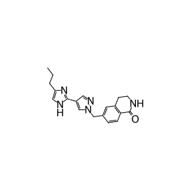 CCCc1c[nH]c(-c2cnn(Cc3ccc4c(c3)CCNC4=O)c2)n1